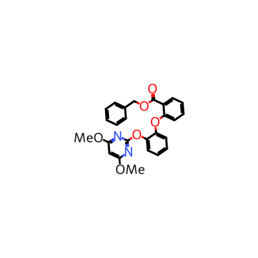 COc1cc(OC)nc(Oc2ccccc2Oc2ccccc2C(=O)OCc2ccccc2)n1